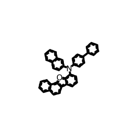 c1ccc(-c2ccc(N(c3ccc4ccccc4c3)c3cccc4c3oc3c5ccccc5ccc43)cc2)cc1